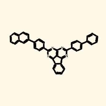 c1ccc(-c2ccc(-c3nc4c5c(nc(-c6ccc(-c7ccc8ccccc8c7)cc6)nc5n3)-c3ccccc3-4)cc2)cc1